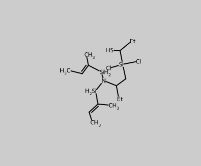 CC=C(C)[SiH2]N([SiH2]C(C)=CC)C(CC)C[Si](Cl)(Cl)C(S)CC